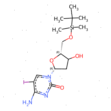 CC(C)(C)[Si](C)(C)OC[C@H]1O[C@@H](n2cc(I)c(N)nc2=O)CC1O